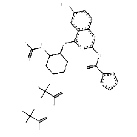 Cc1ccc2nc(NC(=O)c3cccs3)nc(NC3CCCCC3NC(=N)N)c2c1.O=C(O)C(F)(F)F.O=C(O)C(F)(F)F